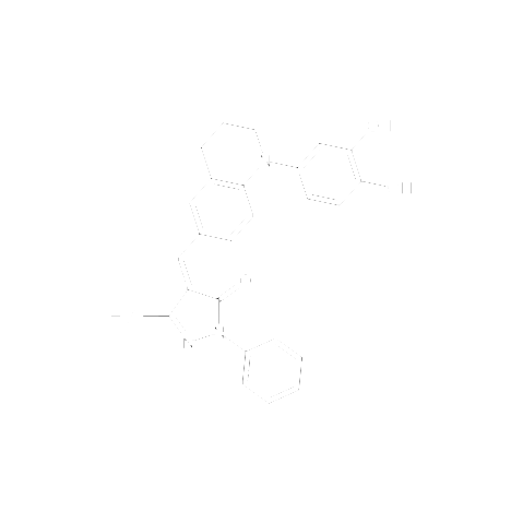 CC1=NN(c2ccccc2)C(=O)/C1=C\c1ccc2c(c1)CCCN2c1ccc(O)c(O)c1